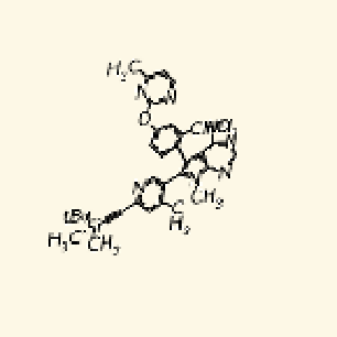 Cc1ccnc(Oc2ccc(-c3c(-c4cnc(C#C[Si](C)(C)C(C)(C)C)cc4C)n(C)c4ncnc(N)c34)c(C=O)c2)n1